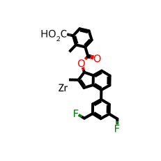 CC1=Cc2c(-c3cc(CF)cc(CF)c3)cccc2C1OC(=O)c1cccc(C(=O)O)c1C.[Zr]